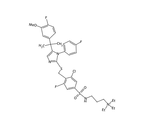 CC[N+](CC)(CC)CCCNS(=O)(=O)c1cc(F)c(CSc2ncc(C(C)(C)c3ccc(F)c(OC)c3)n2-c2ccc(F)cc2)c(Cl)c1